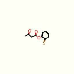 CC(=O)CC(=O)OC1=CC=CCC1=S